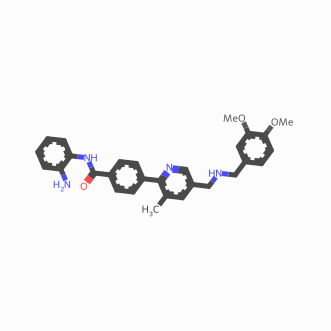 COc1ccc(CNCc2cnc(-c3ccc(C(=O)Nc4ccccc4N)cc3)c(C)c2)cc1OC